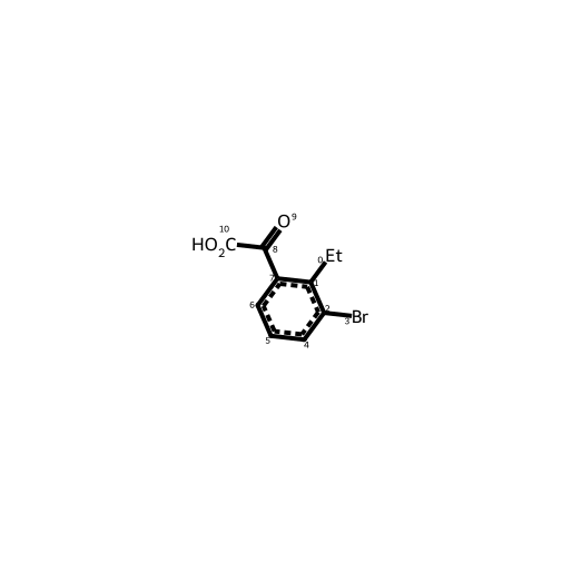 CCc1c(Br)cccc1C(=O)C(=O)O